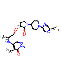 Cc1c(N[C@@H](C)CO[C@@H]2CCN(C3CCN(c4cnc(C(F)(F)F)cn4)CC3)C2=O)cn[nH]c1=O